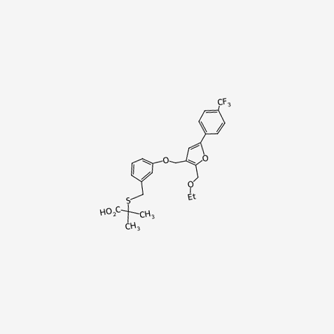 CCOCc1oc(-c2ccc(C(F)(F)F)cc2)cc1COc1cccc(CSC(C)(C)C(=O)O)c1